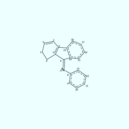 C1=CC2=C(CC1)/C(=N/c1ccccc1)c1ccccc12